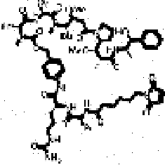 CCC(C)[C@@H](C(CC(=O)N1CCC[C@H]1[C@H](OC)[C@@H](C)C(=O)N[C@H](C)[C@@H](O)c1ccccc1)OC)N(C)C(=O)[C@@H](NC(=O)[C@H](C(C)C)N(C)C(=O)OCc1ccc(NC(=O)[C@H](CCCNC(N)=O)NC(=O)[C@@H](NC(=O)CCCCCN2C(=O)C=CC2=O)C(C)C)cc1)C(C)C